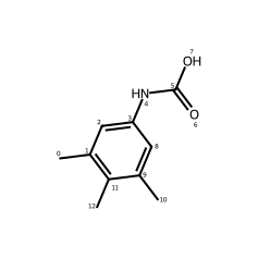 Cc1cc(NC(=O)O)cc(C)c1C